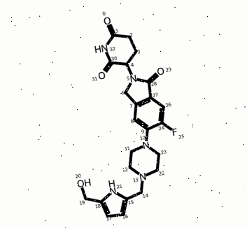 O=C1CCC(N2Cc3cc(N4CCN(Cc5ccc(CO)[nH]5)CC4)c(F)cc3C2=O)C(=O)N1